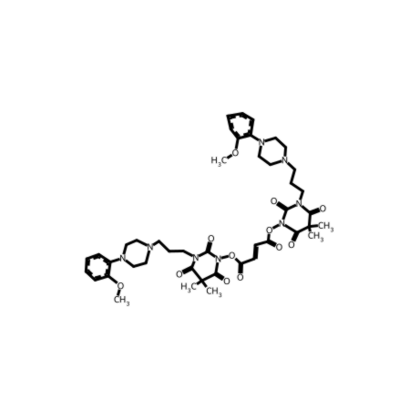 COc1ccccc1N1CCN(CCCN2C(=O)N(OC(=O)/C=C/C(=O)ON3C(=O)N(CCCN4CCN(c5ccccc5OC)CC4)C(=O)C(C)(C)C3=O)C(=O)C(C)(C)C2=O)CC1